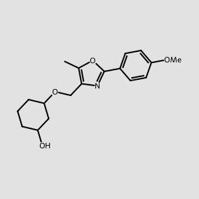 COc1ccc(-c2nc(COC3CCCC(O)C3)c(C)o2)cc1